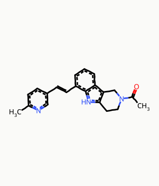 CC(=O)N1CCc2[nH]c3c(C=Cc4ccc(C)nc4)cccc3c2C1